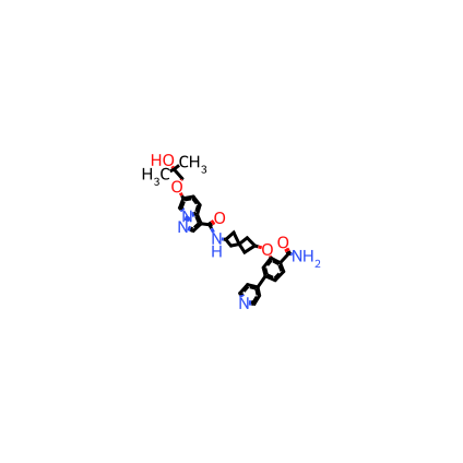 CC(C)(O)COc1ccc2c(C(=O)NC3CC4(C3)CC(Oc3cc(-c5ccncc5)ccc3C(N)=O)C4)cnn2c1